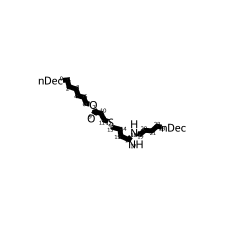 CCCCCCCCCCCCCCCCOC(=O)CCSCCCC(=N)NCCCCCCCCCCCCCC